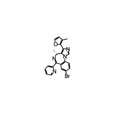 Cc1ccoc1-c1ncn2c1[C@@H](C)N=C(c1ccccn1)c1cc(Br)ccc1-2